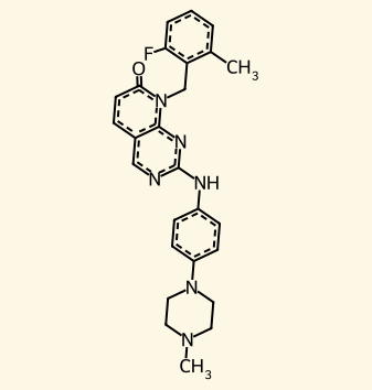 Cc1cccc(F)c1Cn1c(=O)ccc2cnc(Nc3ccc(N4CCN(C)CC4)cc3)nc21